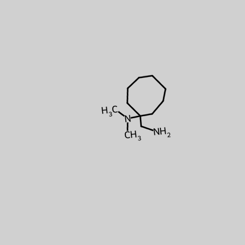 CN(C)C1(CN)CCCCCCC1